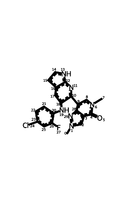 Cn1cc2c(=O)n(C)cc(-c3nc4[nH]ccc4cc3Nc3ccc(Cl)cc3F)c2n1